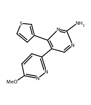 COc1ccc(-c2cnc(N)nc2-c2ccsc2)nn1